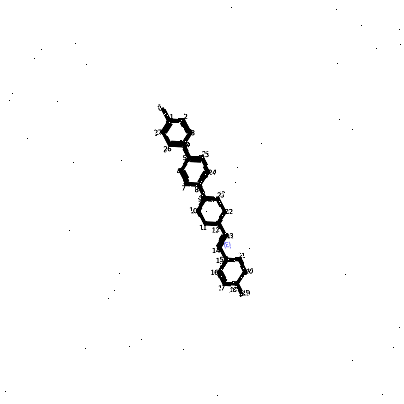 Cc1ccc(-c2ccc(C3CCC(/C=C/C4C=CC(C)CC4)CC3)cc2)cc1